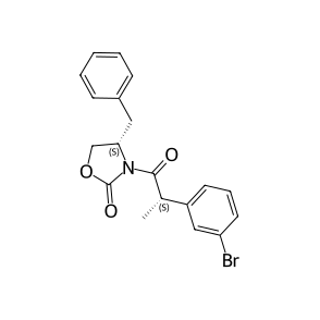 C[C@H](C(=O)N1C(=O)OC[C@@H]1Cc1ccccc1)c1cccc(Br)c1